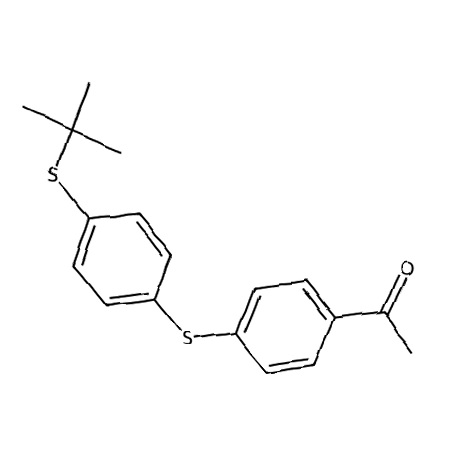 CC(=O)c1ccc(Sc2ccc(SC(C)(C)C)cc2)cc1